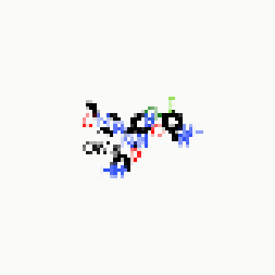 C=CC(=O)N1CCN(c2nc(O[C@@H]3CNC[C@H]3OC)nc3c(Oc4c(Cl)c(F)cc5[nH]ncc45)nccc23)C[C@@H]1C